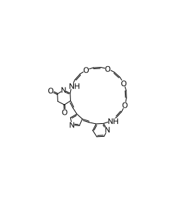 O=C1CC(=O)c2cc3c(cc4cccnc4[nH]ccoccoccoccocc[nH]c2=N1)C=NC=3